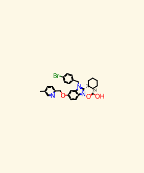 Cc1ccc(COc2ccc3nc([C@@H]4CCCC[C@@H]4C(=O)O)n(Cc4ccc(Br)cc4)c3c2)nc1